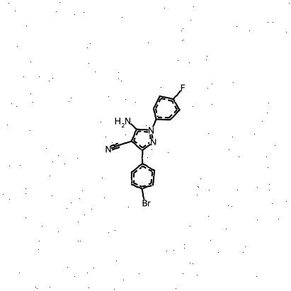 N#Cc1c(-c2ccc(Br)cc2)nn(-c2ccc(F)cc2)c1N